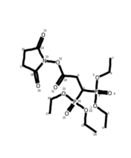 CCOP(=O)(OCC)C(CC(=O)ON1C(=O)CCC1=O)P(=O)(OCC)OCC